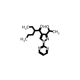 CCCC(CC)C(=O)c1cn(-c2ncccn2)nc1C(C)O